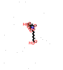 O=C(O)CCCCCCC(=O)ON1C(=O)C[C@H](S(=O)(=O)O)C1=O